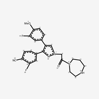 COc1ccc(-c2cn(CC(=O)N3CCCNCC3)nc2-c2ccc(C#N)c(F)c2)cc1F